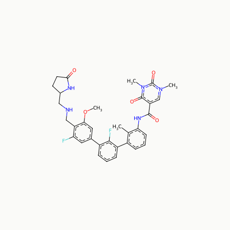 COc1cc(-c2cccc(-c3cccc(NC(=O)c4cn(C)c(=O)n(C)c4=O)c3C)c2F)cc(F)c1CNCC1CCC(=O)N1